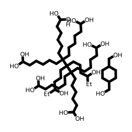 CCC(O)CCCC(CCCC(O)CC)(C(CCCCCC(O)O)(CCCCCC(O)O)CCCCCC(O)O)C(CCCCCC(O)O)(CCCCCC(O)O)CCCCCC(O)O.OCC1CCC(CO)CC1